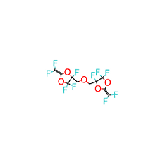 FC(F)=C1OC(F)(F)C(F)(COCC2(F)OC(=C(F)F)OC2(F)F)O1